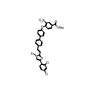 CCn1cc(-c2ccc(Cl)cc2Cl)nc1/C=C/c1ccc(-c2ccc(Oc3ccc(C(=O)OC)cc3[N+](=O)[O-])cc2)cc1